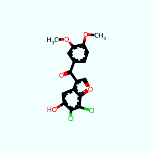 COc1ccc(C(=O)c2coc3c(Cl)c(Cl)c(O)cc23)cc1OC